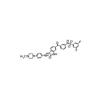 CN1CCN(c2ccc(NC=C3C(=O)Nc4cc(C(=O)c5cccc(NS(=O)(=O)c6cc(F)cc(F)c6)c5)ccc43)cc2)CC1